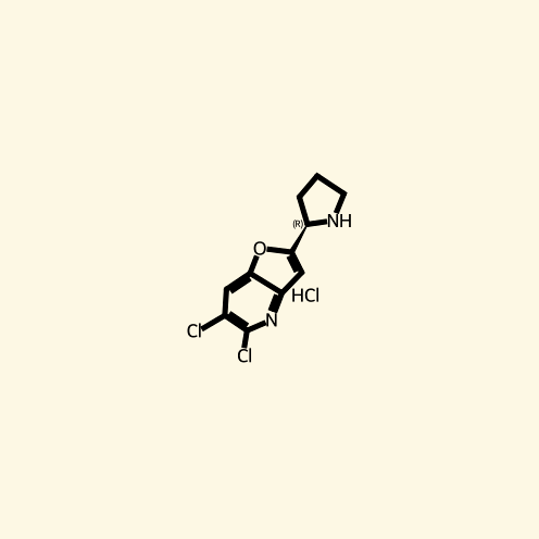 Cl.Clc1cc2oc([C@H]3CCCN3)cc2nc1Cl